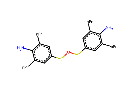 CCCc1cc(SOSc2cc(CCC)c(N)c(CCC)c2)cc(CCC)c1N